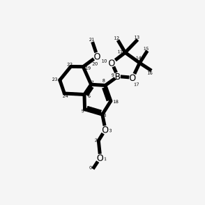 COCOc1cc2c(c(B3OC(C)(C)C(C)(C)O3)c1)C(OC)CCC2